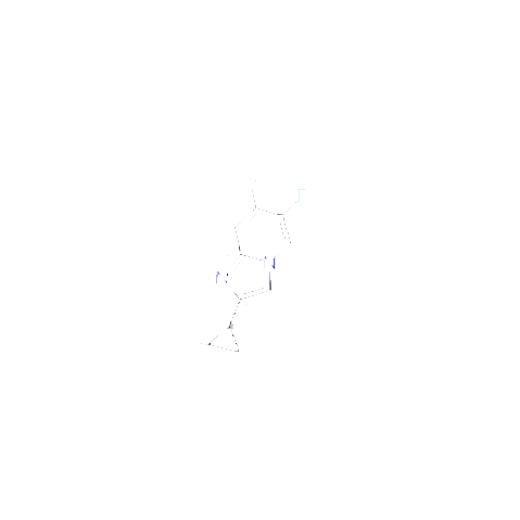 Fc1cn2cc(C3CC3)nc2cc1I